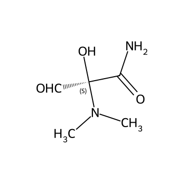 CN(C)[C@](O)(C=O)C(N)=O